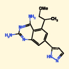 COCC(C)c1cc(-c2ccn[nH]2)cc2nc(N)nc(N)c12